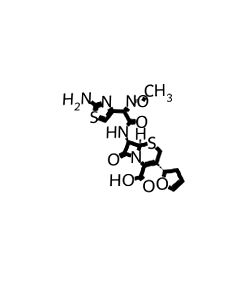 CO/N=C(\C(=O)N[C@@H]1C(=O)N2C(C(=O)O)=C([C@@H]3CC=CO3)CS[C@H]12)c1csc(N)n1